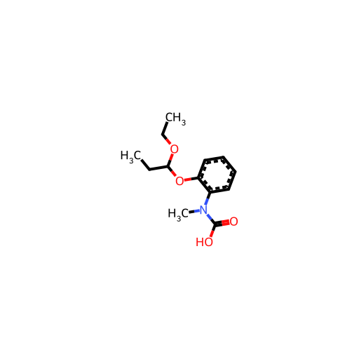 CCOC(CC)Oc1ccccc1N(C)C(=O)O